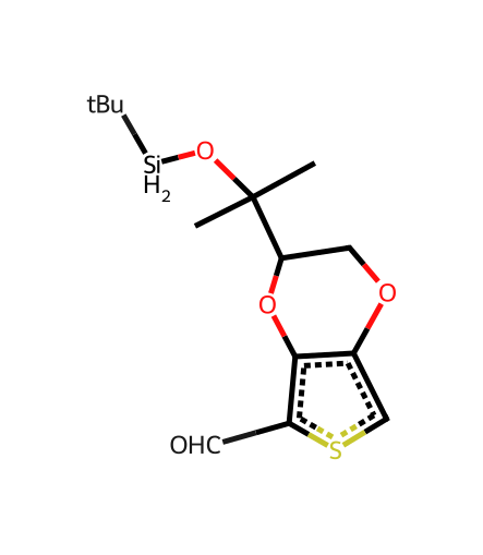 CC(C)(C)[SiH2]OC(C)(C)C1COc2csc(C=O)c2O1